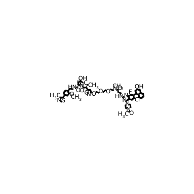 COc1cc(-c2scnc2C)ccc1CCNC(=O)[C@@H]1C[C@H](O)CN1C(=O)[C@H](c1cc(OCCOCCOCCN(C)C(=O)CCNc2nc(N3CCN(C(C)=O)CC3)c3cc(Cl)c(-c4cc(O)cc5ccccc45)c(F)c3n2)no1)C(C)C